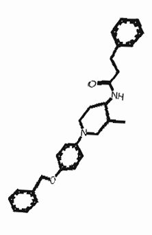 CC1CN(c2ccc(OCc3ccccc3)cc2)CCC1NC(=O)CCc1ccccc1